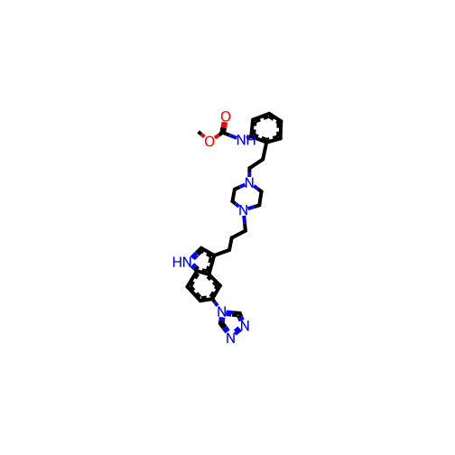 COC(=O)Nc1ccccc1CCN1CCN(CCCc2c[nH]c3ccc(-n4cnnc4)cc23)CC1